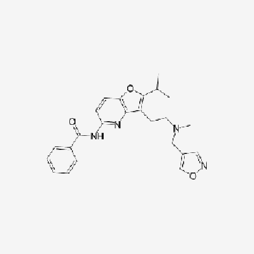 CC(C)c1oc2ccc(NC(=O)c3ccccc3)nc2c1CCN(C)Cc1cnoc1